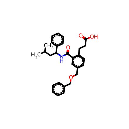 CC(C)CC(NC(=O)c1cc(COCc2ccccc2)ccc1CCC(=O)O)c1ccccc1